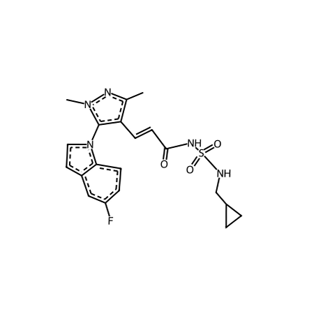 Cc1nn(C)c(-n2ccc3cc(F)ccc32)c1/C=C/C(=O)NS(=O)(=O)NCC1CC1